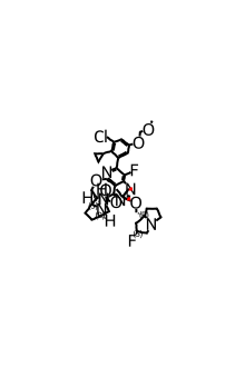 COCOc1cc(Cl)c(C2CC2)c(-c2nc3c4c(nc(OC[C@]56CCCN5C[C@@H](F)C6)nc4c2F)N2C[C@H]4CC[C@@H]([C@H]2CO3)N4C(=O)OC(C)(C)C)c1